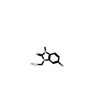 Cn1c(=O)n(CC(=O)O)c2cc(Br)ccc21